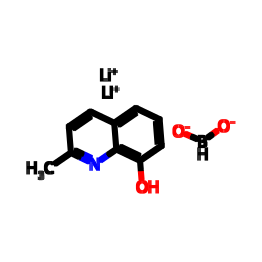 Cc1ccc2cccc(O)c2n1.[Li+].[Li+].[O-]B[O-]